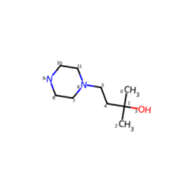 CC(C)(O)CCN1CC[N]CC1